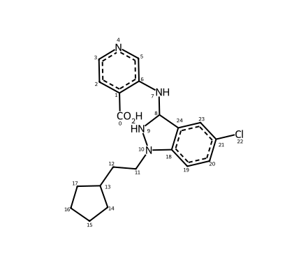 O=C(O)c1ccncc1NC1NN(CCC2CCCC2)c2ccc(Cl)cc21